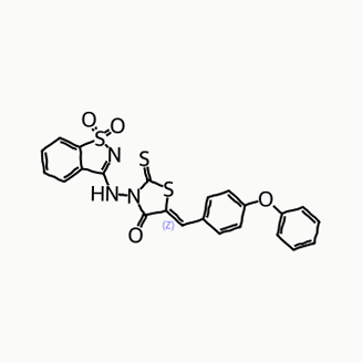 O=C1/C(=C/c2ccc(Oc3ccccc3)cc2)SC(=S)N1NC1=NS(=O)(=O)c2ccccc21